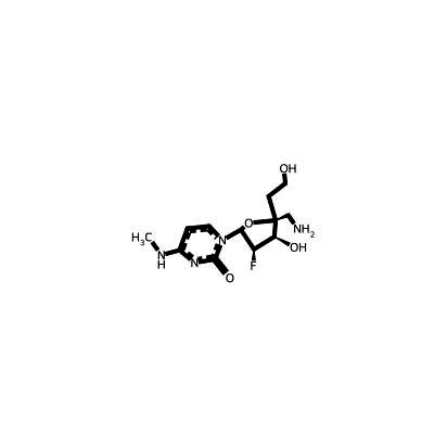 CNc1ccn(C2O[C@](CN)(CCO)[C@@H](O)[C@H]2F)c(=O)n1